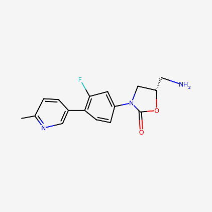 Cc1ccc(-c2ccc(N3C[C@H](CN)OC3=O)cc2F)cn1